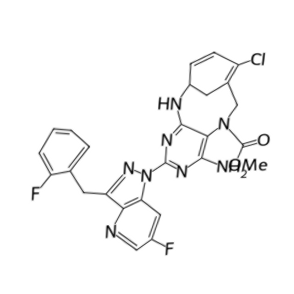 COC(=O)N1CC2=C(Cl)C=CC(C2)Nc2nc(-n3nc(Cc4ccccc4F)c4ncc(F)cc43)nc(N)c21